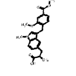 COC(=O)c1ccc(Cc2cn(C)c3ccc(CC(C)C(=O)O)cc23)c(OC)c1